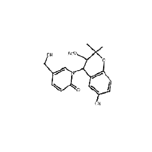 CC(=O)OC1C(n2cc(CO)ccc2=O)c2cc(C#N)ccc2OC1(C)C